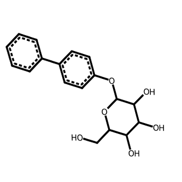 OCC1OC(Oc2ccc(-c3ccccc3)cc2)C(O)C(O)C1O